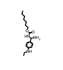 CCCCCCCOC(=O)NC(N)c1ccc(NCC)cc1